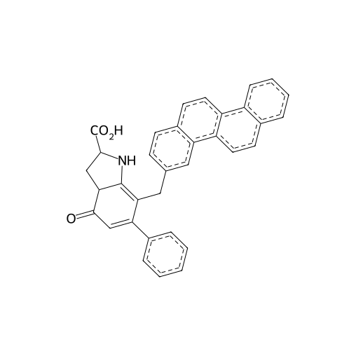 O=C(O)C1CC2C(=O)C=C(c3ccccc3)C(Cc3ccc4ccc5c6ccccc6ccc5c4c3)=C2N1